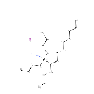 CCCCCCCCC(CCCC)C(N)(CCCC)CCCC.I